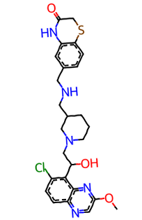 COc1cnc2ccc(Cl)c(C(O)CN3CCCC(CNCc4ccc5c(c4)NC(=O)CS5)C3)c2n1